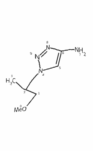 COCC(C)n1cc(N)nn1